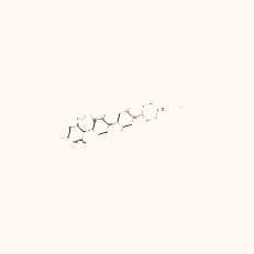 [2H]c1c(F)c(F)c(F)c([2H])c1-c1ccc(-c2ccc(C3CCC(CCCCC)CC3)cc2)cc1F